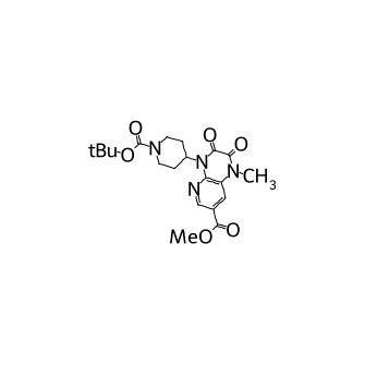 COC(=O)c1cnc2c(c1)n(C)c(=O)c(=O)n2C1CCN(C(=O)OC(C)(C)C)CC1